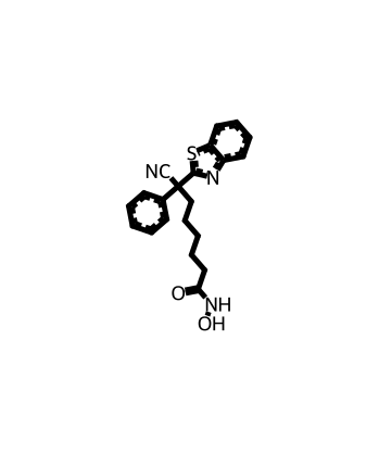 N#CC(CCCCCC(=O)NO)(c1ccccc1)c1nc2ccccc2s1